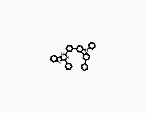 c1ccc(-c2ccc3c(c2)c2cc(-c4cccc(-c5nc(-c6ccccc6)c6sc7ccccc7c6n5)c4)ccc2n3-c2ccccc2)cc1